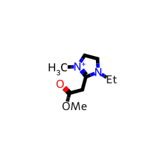 CCN1CC[N+](C)=C1CC(=O)OC